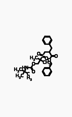 CC(C)(C)NC(=O)OCC(C)(C)S(=O)(=O)CC(Cc1ccccc1)C(=O)OCc1ccccc1